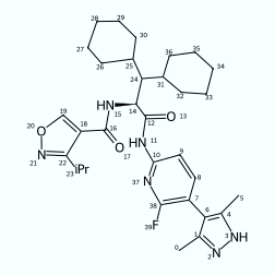 Cc1n[nH]c(C)c1-c1ccc(NC(=O)[C@@H](NC(=O)c2conc2C(C)C)C(C2CCCCC2)C2CCCCC2)nc1F